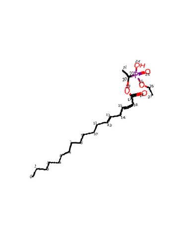 CCCCCCCCCCCCCCCC=CC(=O)OC(C)P(=O)(O)OCC